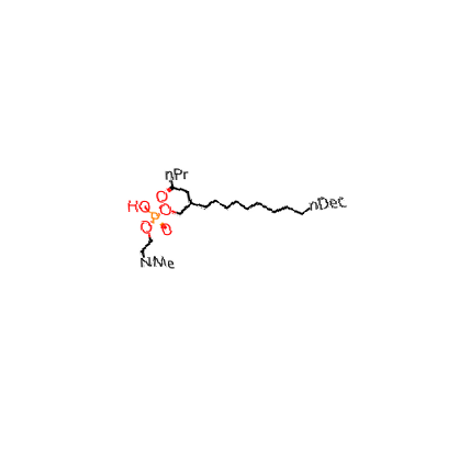 CCCCCCCCCCCCCCCCCCCC(COP(=O)(O)OCCNC)CC(=O)CCC